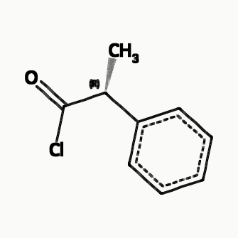 C[C@@H](C(=O)Cl)c1ccccc1